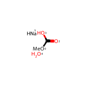 COC(=O)O.O.[NaH]